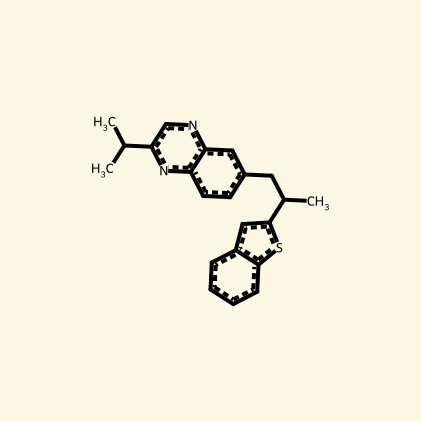 CC(C)c1cnc2cc(CC(C)c3cc4ccccc4s3)ccc2n1